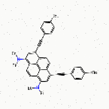 CCN(CC)c1cc(C#Cc2ccc(C(C)(C)C)cc2)c2ccc3c(C#Cc4ccc(C(C)(C)C)cc4)cc(N(CC)CC)c4ccc1c2c34